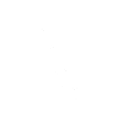 CC(=O)NCC1CN(c2ccc(-c3nc(Cc4nc(C)cs4)c[nH]3)c(F)c2)C(=O)O1